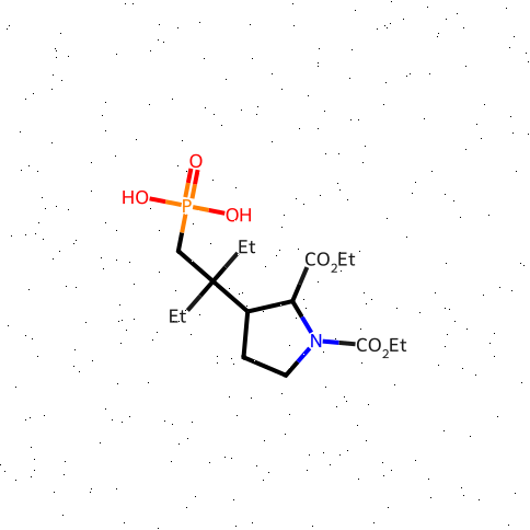 CCOC(=O)C1C(C(CC)(CC)CP(=O)(O)O)CCN1C(=O)OCC